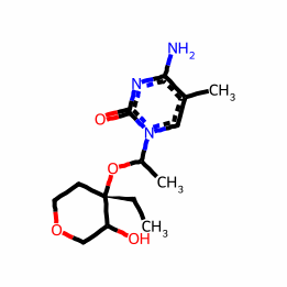 CC[C@]1(OC(C)n2cc(C)c(N)nc2=O)CCOCC1O